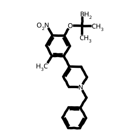 BC(C)(C)Oc1cc(C2=CCN(Cc3ccccc3)CC2)c(C)cc1[N+](=O)[O-]